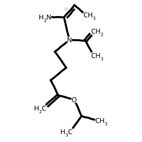 C=C(CCCN(C(=C)C)/C(N)=C\C)OC(C)C